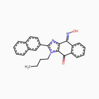 CCCCn1c(-c2ccc3ccccc3c2)nc2c1C(=O)c1ccccc1C2=NO